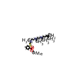 COCOC(=O)c1ccccc1SC/C=C(\C)CC/C=C(\C)CC/C=C(\C)CCC=C(C)C